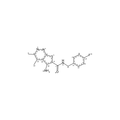 Cc1nnc2sc(C(=O)NCc3ccc(F)cc3)c(N)c2c1C